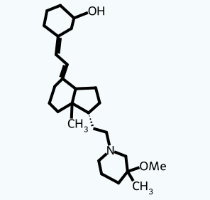 COC1(C)CCCN(CC[C@H]2CCC3/C(=C/C=C4/CCCC(O)C4)CCCC32C)C1